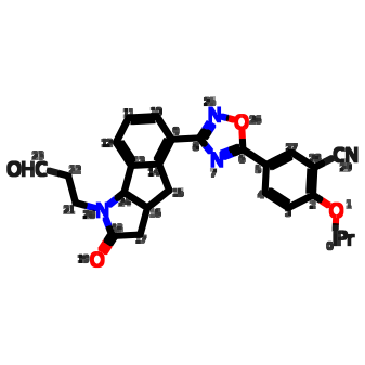 CC(C)Oc1ccc(-c2nc(-c3cccc4c3CC3CC(=O)N(CCC=O)C43)no2)cc1C#N